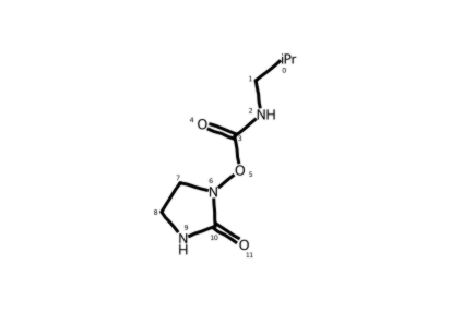 CC(C)CNC(=O)ON1CCNC1=O